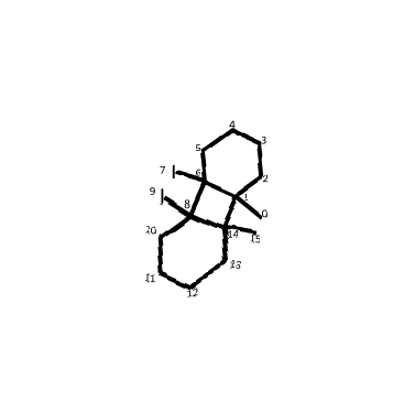 CC12CCCCC1(I)C1(I)CCCCC21C